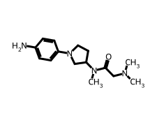 CN(C)CC(=O)N(C)C1CCN(c2ccc(N)cc2)C1